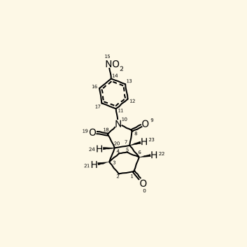 O=C1C[C@H]2CC[C@@H]1[C@H]1C(=O)N(c3ccc([N+](=O)[O-])cc3)C(=O)[C@@H]21